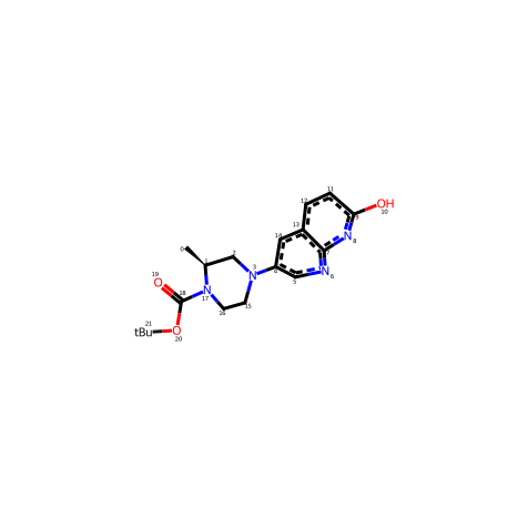 C[C@H]1CN(c2cnc3nc(O)ccc3c2)CCN1C(=O)OC(C)(C)C